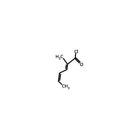 C/C=C\C=C(/C)C(=O)Cl